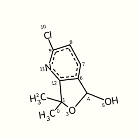 CC1(C)OC(O)c2ccc(Cl)nc21